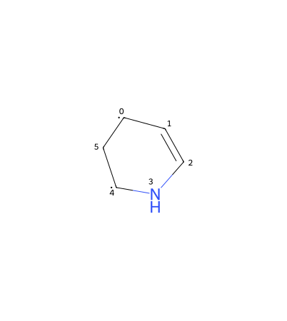 [CH]1C=CN[CH]C1